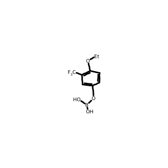 CCOc1ccc(OB(O)O)cc1C(F)(F)F